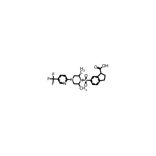 CC1CN(c2ccc(C(F)(F)F)cn2)CC(C)N1S(=O)(=O)c1ccc2c(c1)C(C(=O)O)CC2